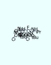 CC(C)C[C@@H]1CN(C(=O)OC(C)(C)C)c2c(c(F)c3c(c2OCc2ccccc2)C(=O)C2=C(O)[C@]4(O[Si](C)(C)C(C)(C)C)C(=O)c5c(OCc6ccccc6)noc5[C@@H](N(C)C)[C@@H]4C[C@@H]2C3)CN1